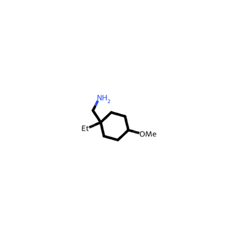 CCC1(CN)CCC(OC)CC1